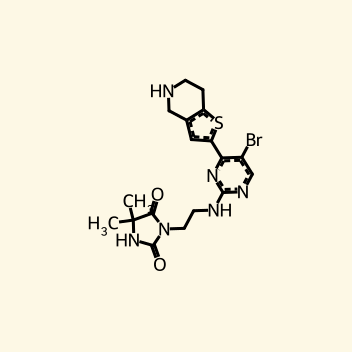 CC1(C)NC(=O)N(CCNc2ncc(Br)c(-c3cc4c(s3)CCNC4)n2)C1=O